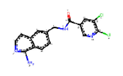 Nc1nccc2cc(CNC(=O)c3cnc(Cl)c(Cl)c3)ccc12